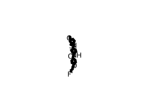 COc1ccc2nc(-c3ccc(NC(=O)c4ccc(OCCCCF)cc4)cc3)sc2c1